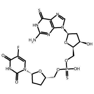 Nc1nc2c(ncn2[C@H]2C[C@@H](O)[C@@H](COP(O)(=S)OC[C@@H]3CC[C@H](n4cc(F)c(=O)[nH]c4=O)O3)O2)c(=S)[nH]1